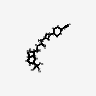 N#CC1CCC(N2CC(NC(=O)CNc3noc4ccc(C(F)(F)F)cc34)C2)CC1